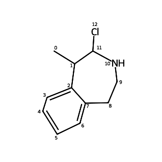 CC1c2ccccc2CCNC1Cl